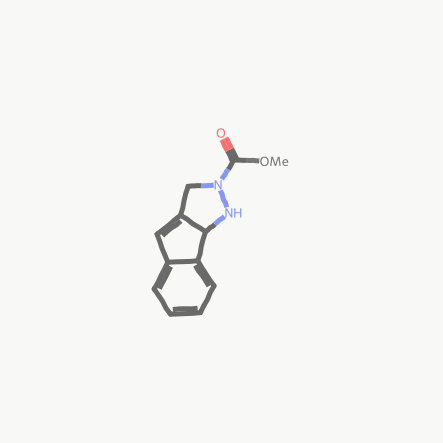 COC(=O)N1CC2=Cc3ccccc3C2N1